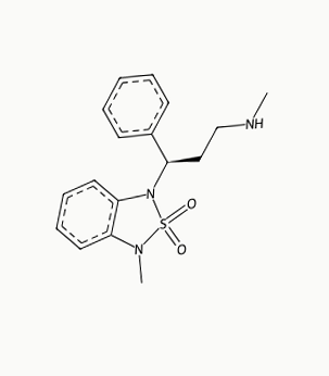 CNCC[C@H](c1ccccc1)N1c2ccccc2N(C)S1(=O)=O